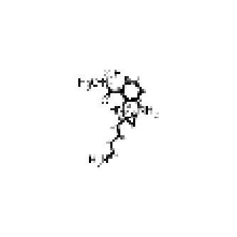 CN(C)C(=O)c1cccc(N)c1NC1(CCCCN)CC1